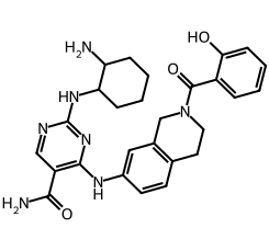 NC(=O)c1cnc(NC2CCCCC2N)nc1Nc1ccc2c(c1)CN(C(=O)c1ccccc1O)CC2